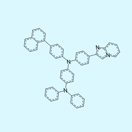 c1ccc(N(c2ccccc2)c2ccc(N(c3ccc(-c4cn5ccccc5n4)cc3)c3ccc(-c4cccc5ccccc45)cc3)cc2)cc1